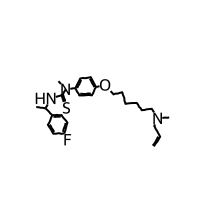 C=CCN(C)CCCCCCOc1ccc(N(C)C(=S)NC(C)c2ccc(F)cc2)cc1